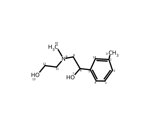 Cc1cccc(C(O)CN(C)CCO)c1